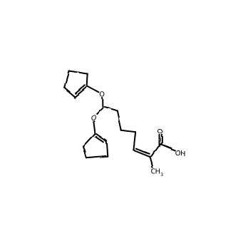 CC(=CCCCC(OC1=CCCC1)OC1=CCCC1)C(=O)O